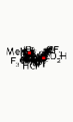 CN[C@@H](CC(C)C)C(=O)O[C@H](C)C(=O)N(C)[C@@H](CC(C)(C)F)C(=O)O[C@H](Cc1ccc(OC(F)(F)F)cc1)C(=O)N(C)[C@@H](CC(C)C)C(=O)O[C@H](C)C(=O)N(C)[C@H](CC(C)(C)F)C(=O)O[C@H](Cc1ccc(OC(F)(F)F)cc1)C(=O)O.Cl